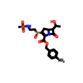 CC(O)C1C(=O)N2C(C(=O)OCc3ccc([N+](=O)[O-])cc3)=C([S+]([O-])CCNS(C)(=O)=O)CC12